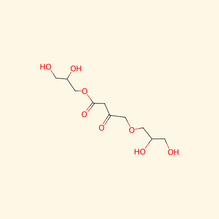 O=C(COCC(O)CO)CC(=O)OCC(O)CO